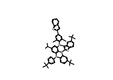 Cc1cc(-c2cc3ccccc3o2)cc(C)c1N1c2cc(C(C)C)cc3c2B(c2cc(C(C)(C)C)ccc2N3c2ccc(C(C)(C)C)cc2)c2oc3ccc(C(C)(C)C)cc3c21